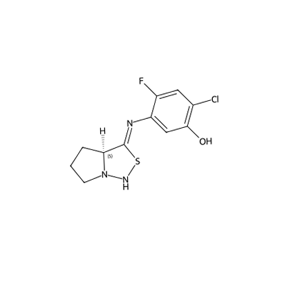 Oc1cc(N=C2SNN3CCC[C@@H]23)c(F)cc1Cl